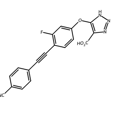 N#Cc1ccc(C#Cc2ccc(Oc3[nH]nnc3C(=O)O)cc2F)cc1